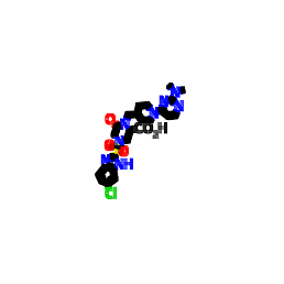 CN(C)c1nccc(N2CCC(CN3C(=O)CN(S(=O)(=O)c4nc5ccc(Cl)cc5[nH]4)CC3C(=O)O)CC2)n1